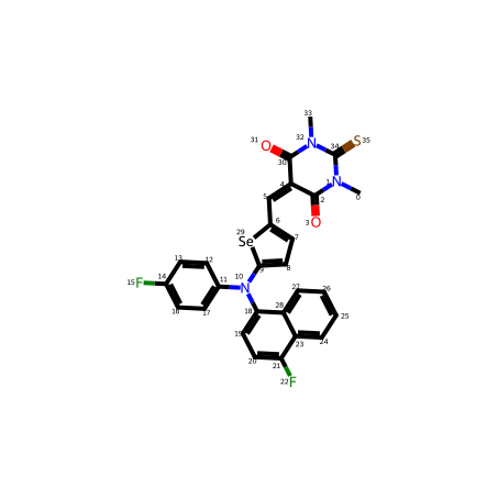 CN1C(=O)C(=Cc2ccc(N(c3ccc(F)cc3)c3ccc(F)c4ccccc34)[se]2)C(=O)N(C)C1=S